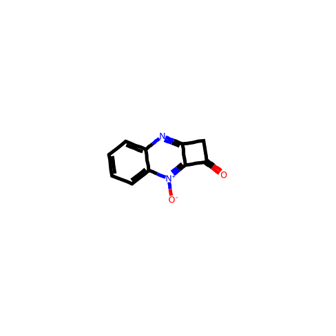 O=C1Cc2nc3ccccc3[n+]([O-])c21